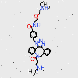 CNCCOCCNC(=O)c1ccc(Cn2nnc3c2-c2ccccc2N(C(=O)CCNC)Cc2ccccc2-3)cc1